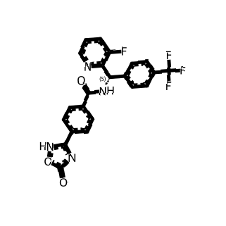 O=C(N[C@@H](c1ccc(C(F)(F)F)cc1)c1ncccc1F)c1ccc(-c2nc(=O)o[nH]2)cc1